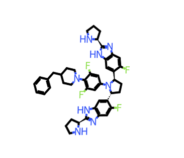 Fc1cc2nc([C@@H]3CCCN3)[nH]c2cc1[C@H]1CC[C@H](c2cc3[nH]c([C@@H]4CCCN4)nc3cc2F)N1c1cc(F)c(N2CCC(Cc3ccccc3)CC2)c(F)c1